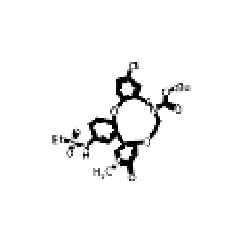 CCS(=O)(=O)Nc1ccc2c(c1)-c1cn(C)c(=O)cc1OCCN(C(=O)OC(C)(C)C)Cc1cc(Cl)ccc1O2